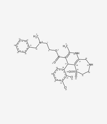 CC1=C(C(=O)OCCN(C)Cc2ccccc2)C(c2cccc(Cl)c2Cl)C2=C(CNCCS2(=O)=O)N1